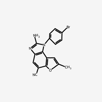 Cc1cc2c(o1)c(C#N)cc1nc(N)n(-c3ccc(Br)cc3)c12